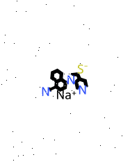 N#Cc1ccc(-n2cc([S-])c3ccncc32)c2ccccc12.[Na+]